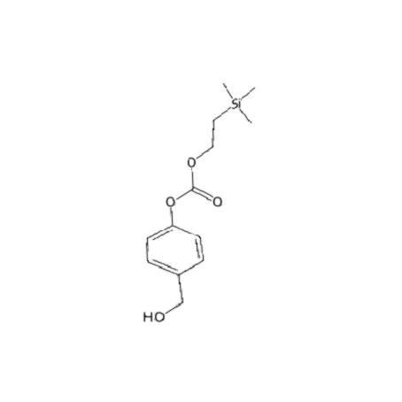 C[Si](C)(C)CCOC(=O)Oc1ccc(CO)cc1